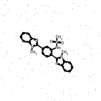 Cn1c(-c2ccc(-c3nc4ccccc4n3C)c(NS(C)(=O)=O)c2)nc2ccccc21